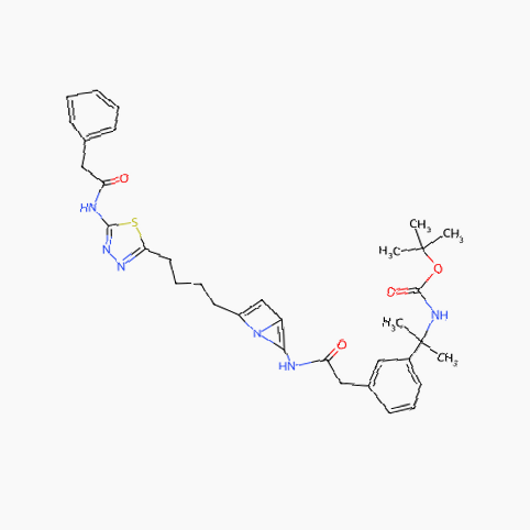 CC(C)(C)OC(=O)NC(C)(C)c1cccc(CC(=O)Nc2c3cc(CCCCc4nnc(NC(=O)Cc5ccccc5)s4)n2-3)c1